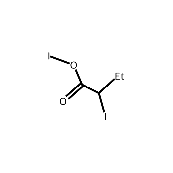 CCC(I)C(=O)OI